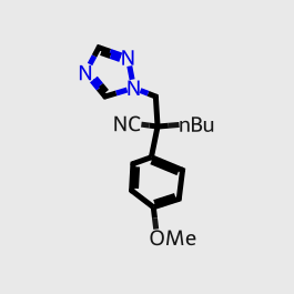 CCCCC(C#N)(Cn1cncn1)c1ccc(OC)cc1